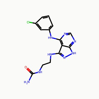 NC(=O)NCCNc1n[nH]c2ncnc(Nc3cccc(Cl)c3)c12